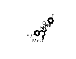 COCCCC1CN(C(=O)Nc2ccc(F)cc2)N=C1c1ccc(C(F)(F)F)cc1